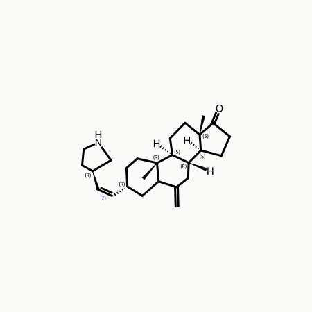 C=C1C[C@@H]2[C@H](CC[C@]3(C)C(=O)CC[C@@H]23)[C@@]2(C)CC[C@@H](/C=C\[C@H]3CCNC3)CC12